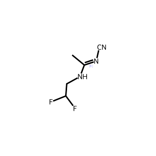 C/C(=N\C#N)NCC(F)F